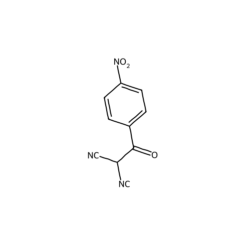 [C-]#[N+]C(C#N)C(=O)c1ccc([N+](=O)[O-])cc1